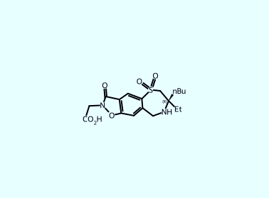 CCCC[C@]1(CC)CS(=O)(=O)c2cc3c(=O)n(CC(=O)O)oc3cc2CN1